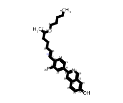 CCCCCOC(C)CCC/C=C/c1ccc(-c2cc3ccc(O)cc3cn2)cc1F